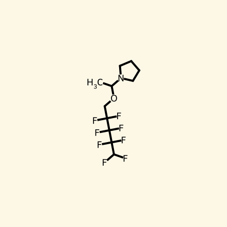 CC(OCC(F)(F)C(F)(F)C(F)(F)C(F)F)N1CCCC1